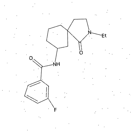 CCN1CCC2(CCCC(NC(=O)c3cccc(F)c3)C2)C1=O